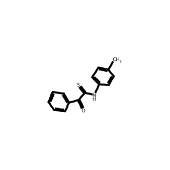 Cc1ccc(NC(=S)C(=O)c2ccccc2)cc1